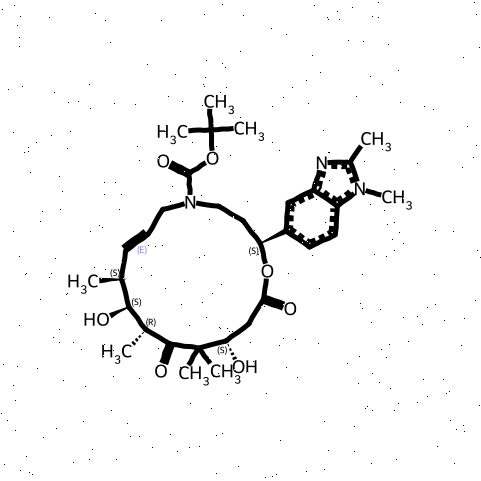 Cc1nc2cc([C@@H]3CCN(C(=O)OC(C)(C)C)C/C=C/[C@H](C)[C@H](O)[C@@H](C)C(=O)C(C)(C)[C@@H](O)CC(=O)O3)ccc2n1C